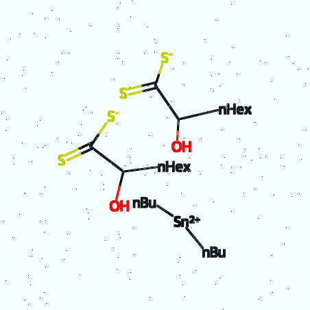 CCCCCCC(O)C(=S)[S-].CCCCCCC(O)C(=S)[S-].CCC[CH2][Sn+2][CH2]CCC